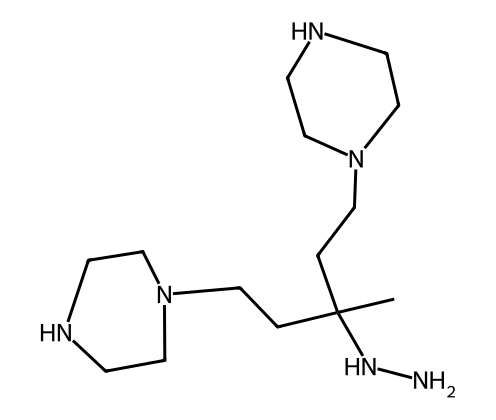 CC(CCN1CCNCC1)(CCN1CCNCC1)NN